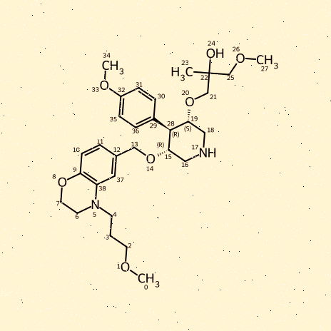 COCCCN1CCOc2ccc(CO[C@H]3CNC[C@@H](OCC(C)(O)COC)[C@@H]3c3ccc(OC)cc3)cc21